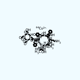 C[C@@H](O)[C@H](NC(=O)[C@@H]1CSSC[C@H](NC(=O)[C@@H](Cc2ccccc2)NC(=O)CN2CCN(CC(=O)[O-])CCN(CC(=O)[O-])CCN(CC(=O)O)CC2)C(=O)N[C@@H](Cc2ccc(O)cc2)C(=O)N[C@H](Cc2c[nH]c3ccccc23)C(=O)N[C@@H](CCCCN)C(=O)N[C@@H]([C@@H](C)O)C(=O)N1)C(=O)O.[64Cu+2]